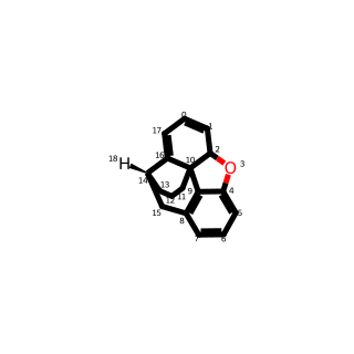 C1=CC2Oc3cccc4c3C23CCC[C@H](C4)C3=C1